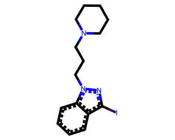 Ic1nn(CCCN2CCCCC2)c2ccccc12